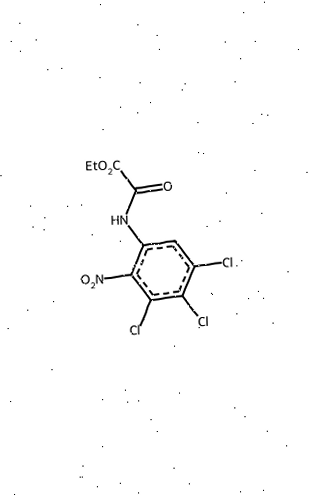 CCOC(=O)C(=O)Nc1cc(Cl)c(Cl)c(Cl)c1[N+](=O)[O-]